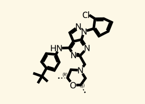 C[C@@H]1CN(Cc2nc(Nc3ccc(C(C)(C)C)cc3)c3cnn(-c4ccccc4Cl)c3n2)C[C@H](C)O1